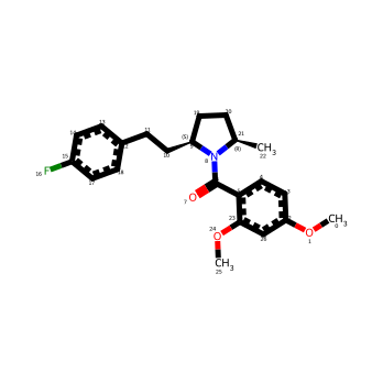 COc1ccc(C(=O)N2[C@@H](CCc3ccc(F)cc3)CC[C@H]2C)c(OC)c1